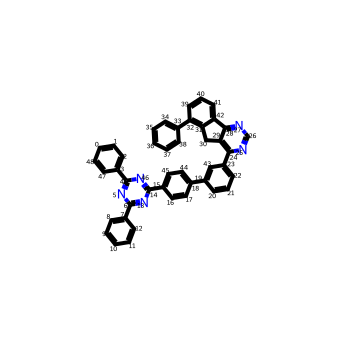 c1ccc(-c2nc(-c3ccccc3)nc(-c3ccc(-c4cccc(-c5ncnc6c5Cc5c(-c7ccccc7)cccc5-6)c4)cc3)n2)cc1